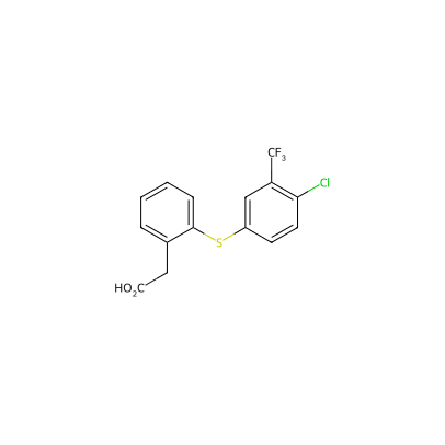 O=C(O)Cc1ccccc1Sc1ccc(Cl)c(C(F)(F)F)c1